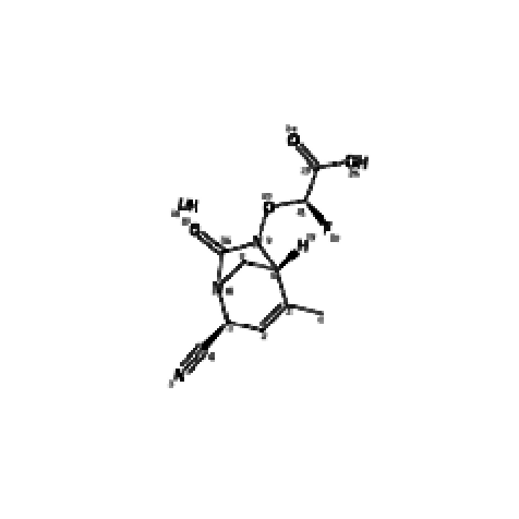 CC1=C[C@@H](C#N)N2C[C@@H]1N(O[C@H](F)C(=O)O)C2=O.[LiH]